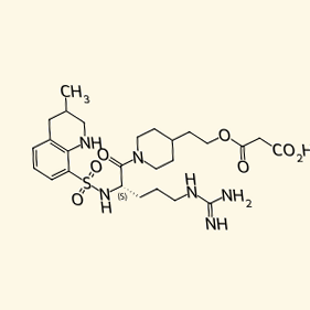 CC1CNc2c(cccc2S(=O)(=O)N[C@@H](CCCNC(=N)N)C(=O)N2CCC(CCOC(=O)CC(=O)O)CC2)C1